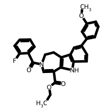 CCOC(=O)C1=CN(C(=O)c2ccccc2F)CCc2c1[nH]c1ccc(-c3cccc(OC)c3)cc21